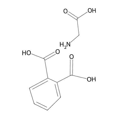 NCC(=O)O.O=C(O)c1ccccc1C(=O)O